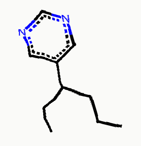 CCCC(CC)c1cncnc1